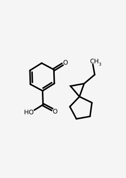 CCC1CC12CCCC2.O=C1C=C(C(=O)O)C=CC1